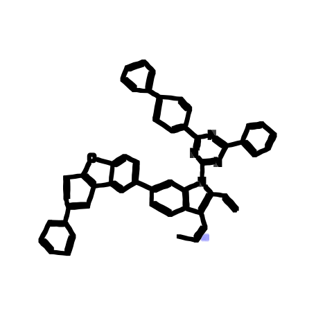 C=Cc1c(/C=C\C)c2ccc(-c3ccc4oc5ccc(-c6ccccc6)cc5c4c3)cc2n1-c1nc(-c2ccccc2)nc(-c2ccc(-c3ccccc3)cc2)n1